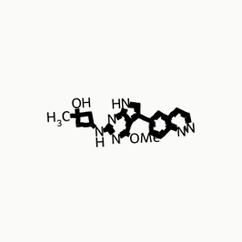 COc1nc(NC2CC(C)(O)C2)nc2[nH]cc(-c3ccc4nnccc4c3)c12